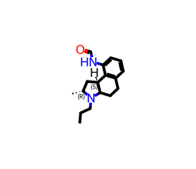 CCCN1C2CCc3cccc(NC=O)c3[C@@H]2C[C@H]1C